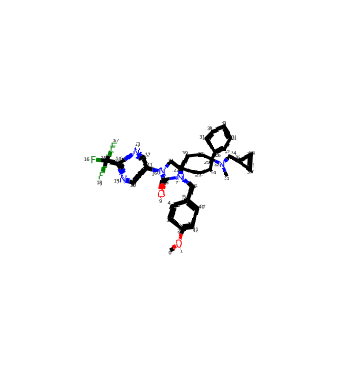 COc1ccc(CN2C(=O)N(c3cnc(C(F)(F)F)nc3)CC23CCC(c2ccccc2)(N(C)CC2CC2)CC3)cc1